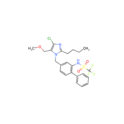 CCCCc1nc(Cl)c(COC)n1Cc1ccc(-c2ccccc2)c(NS(=O)(=O)C(F)(F)F)c1